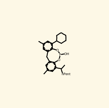 CCCCCC(C)c1cc(C)cc2c1OP(O)Oc1c(cc(C)cc1C1CCCCC1)C2